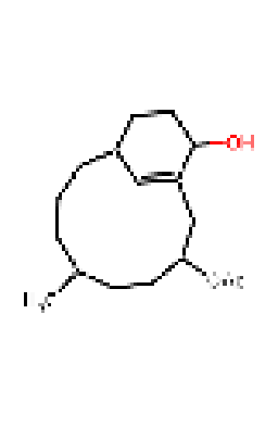 CC(=O)OC1CCC(C)CCCC2C=C(C1)C(O)CC2